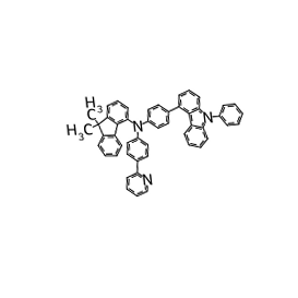 CC1(C)c2ccccc2-c2c(N(c3ccc(-c4ccccn4)cc3)c3ccc(-c4cccc5c4c4ccccc4n5-c4ccccc4)cc3)cccc21